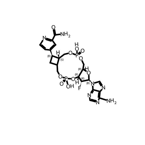 NC(=O)c1cc([C@@H]2CC3COP(=O)(O)O[C@H]4[C@@H](F)[C@H](n5cnc6c(N)ncnc65)O[C@@H]4COP(=O)(O)OC[C@H]32)ccn1